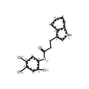 O=C(CCc1c[nH]c2ccccc12)Oc1cc(Cl)c(Cl)cc1Cl